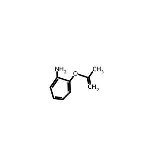 C=C(C)Oc1ccccc1N